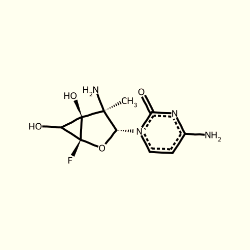 C[C@]1(N)[C@H](n2ccc(N)nc2=O)O[C@]2(F)C(O)[C@]12O